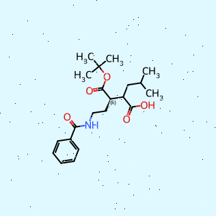 CC(C)CC(C(=O)O)[C@@H](CCNC(=O)c1ccccc1)C(=O)OC(C)(C)C